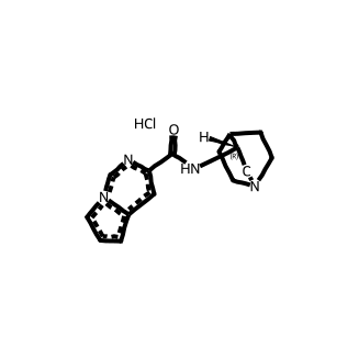 Cl.O=C(N[C@H]1CN2CCC1CC2)c1cc2cccn2cn1